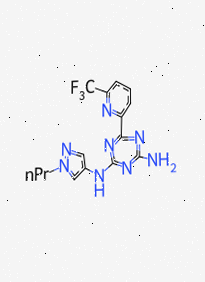 CCCn1cc(Nc2nc(N)nc(-c3cccc(C(F)(F)F)n3)n2)cn1